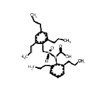 CCCc1cc(CCC)c(CS(=O)(=O)N(C(=O)O)c2c(CCC)cccc2CCC)c(CCC)c1